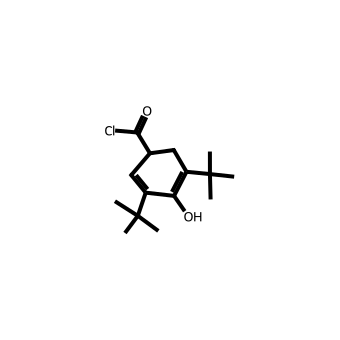 CC(C)(C)C1=CC(C(=O)Cl)CC(C(C)(C)C)=C1O